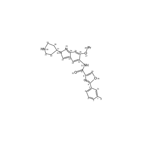 Cc1cccc(-c2nc(C(=O)Nc3cc4cn(C5CCNCC5)nc4cc3OC(C)C)co2)c1